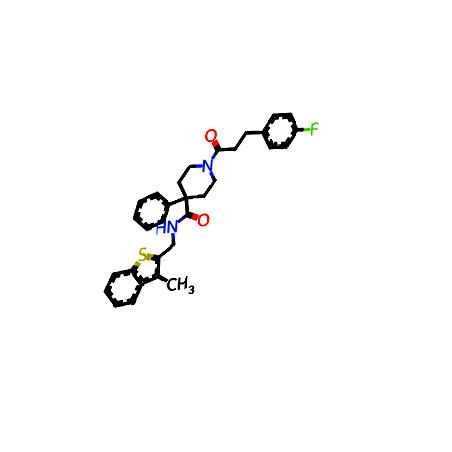 Cc1c(CNC(=O)C2(c3ccccc3)CCN(C(=O)CCc3ccc(F)cc3)CC2)sc2ccccc12